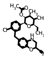 CC[C@H]1O[C@@H](c2ccc(Cl)c(Cc3ccc4c(c3)NCC(C#N)O4)c2)[C@H](OC(C)=O)[C@@H](C)C1C